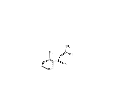 C=C(C=C(C)C)c1cccc[n+]1C